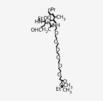 C=NN(C(=O)C(=C\NCCOCCOCCOCCOCCOCCOCCC(=O)OC(C)(C)CC)/C(C)=C\C=C/CCC)C(CCC=O)C(=O)NCC